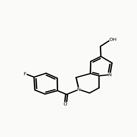 O=C(c1ccc(F)cc1)N1CCc2ncc(CO)cc2C1